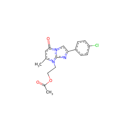 CC(=O)OCCn1c(C)cc(=O)n2cc(-c3ccc(Cl)cc3)nc12